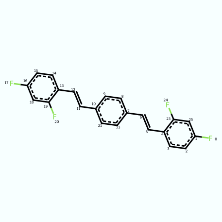 Fc1ccc(/C=C/c2ccc(/C=C/c3ccc(F)cc3F)cc2)c(F)c1